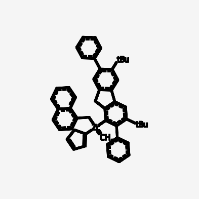 [CH2]=[Zr]([CH2]c1cccc2ccccc12)([C]1=CC=CC1)[c]1c2c(cc(C(C)(C)C)c1-c1ccccc1)-c1cc(C(C)(C)C)c(-c3ccccc3)cc1C2